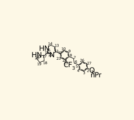 CCCOc1ccc(CCc2ccc(C3=CCNC(C4CCCN4)=N3)cc2C(F)(F)F)cc1